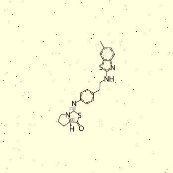 Cc1ccc2nc(NCCc3ccc(/N=C4\SC(=O)[C@@H]5CCCN45)cc3)sc2c1